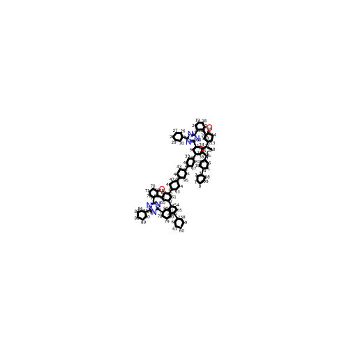 c1ccc(-c2ccc(-c3ccc(-c4ccc5oc6cccc(-c7nc(-c8ccccc8)nc(-c8cccc(-c9ccc(-c%10ccc(-c%11ccc(-c%12cc(-c%13ccc(-c%14ccccc%14)cc%13)cc%13c%12oc%12cccc(-c%14nc(-c%15ccccc%15)nc(-c%15ccccc%15)n%14)c%12%13)cc%11)cc%10)cc9)c8)n7)c6c5c4)cc3)cc2)cc1